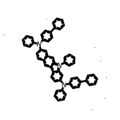 c1ccc(-c2ccc(N(c3ccccc3)c3ccc4cc5c6ccc(N(c7ccccc7)c7ccc(-c8ccccc8)cc7)cc6n(-c6ccccc6)c5cc4c3)cc2)cc1